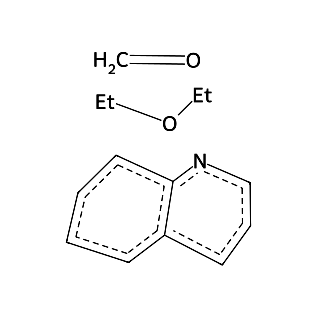 C=O.CCOCC.c1ccc2ncccc2c1